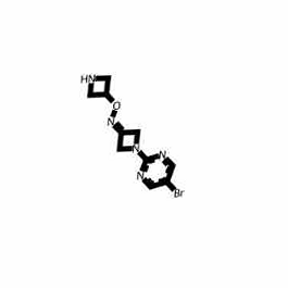 Brc1cnc(N2CC(=NOC3CNC3)C2)nc1